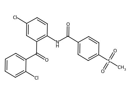 CS(=O)(=O)c1ccc(C(=O)Nc2ccc(Cl)cc2C(=O)c2ccccc2Cl)cc1